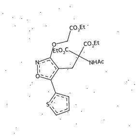 CCOC(=O)COc1noc(-c2cccs2)c1CC(NC(C)=O)(C(=O)OCC)C(=O)OCC